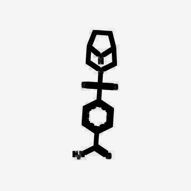 NC(=O)c1ccc(S(=O)(=O)N2CC3CCC(C2)N3)cc1